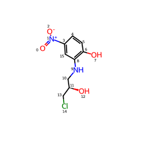 O=[N+]([O-])c1ccc(O)c(NC[C@@H](O)CCl)c1